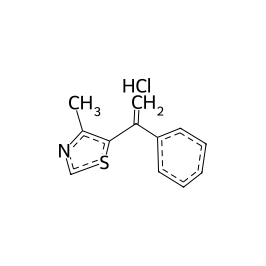 C=C(c1ccccc1)c1scnc1C.Cl